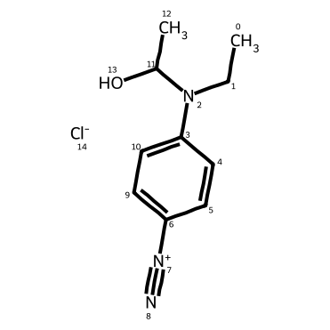 CCN(c1ccc([N+]#N)cc1)C(C)O.[Cl-]